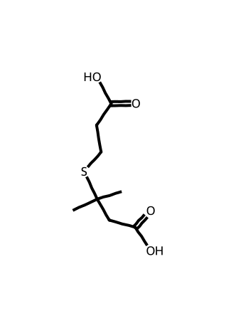 CC(C)(CC(=O)O)SCCC(=O)O